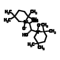 CC1(C)CCC(C)(C)[N+]([O-])(C(O)C(O)[N+]2([O-])CC(C)(C)CCC2(C)C)C1